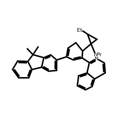 CCCC1(C2CC=C(c3ccc4c(c3)C(C)(C)c3ccccc3-4)C=C2c2nccc3ccccc23)CC1CC